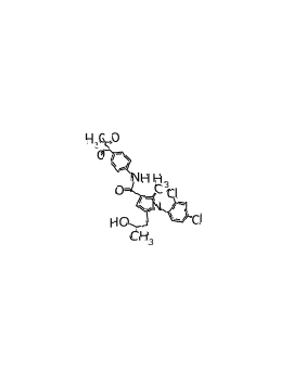 Cc1c(C(=O)Nc2ccc(S(C)(=O)=O)cc2)cc(C[C@H](C)O)n1-c1ccc(Cl)cc1Cl